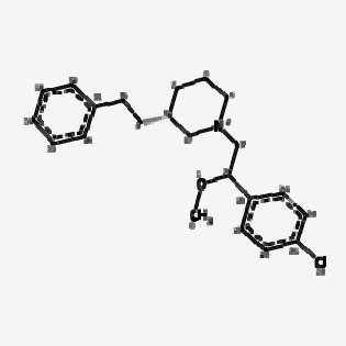 COC(CN1CCC[C@@H](CCc2ccccc2)C1)c1ccc(Cl)cc1